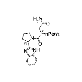 CCCCC[C@H](CC(N)=O)C(=O)N1CCC[C@H]1c1nc2ccccc2[nH]1